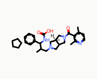 C1CCCC1.Cc1ccnc(C)c1C(=O)N1CC2CN(CC(C)C(NC(=O)O)c3ccccc3)C[C@H]2C1